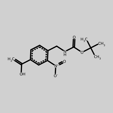 C=C(O)c1ccc(CNC(=O)OC(C)(C)C)c([N+](=O)[O-])c1